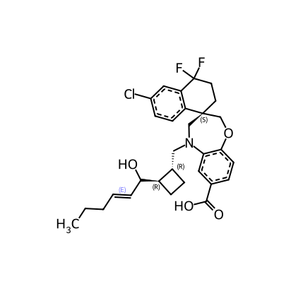 CCC/C=C/C(O)[C@@H]1CC[C@H]1CN1C[C@@]2(CCC(F)(F)c3cc(Cl)ccc32)COc2ccc(C(=O)O)cc21